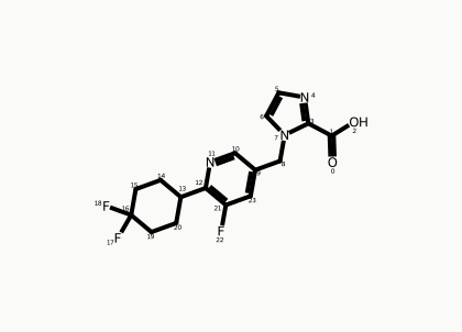 O=C(O)c1nccn1Cc1cnc(C2CCC(F)(F)CC2)c(F)c1